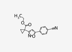 CCOC(=O)C1(c2cc(-c3ccc(C#N)cc3)on2)CC1